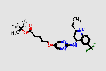 CC[C@@H]1C[C@H](Nc2ncc(OCCCCC(=O)OC(C)(C)C)cn2)c2cc(C(F)(F)F)ccc2N1